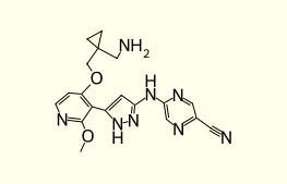 COc1nccc(OCC2(CN)CC2)c1-c1cc(Nc2cnc(C#N)cn2)n[nH]1